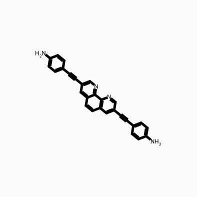 Nc1ccc(C#Cc2cnc3c(ccc4cc(C#Cc5ccc(N)cc5)cnc43)c2)cc1